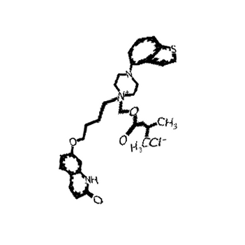 CC(C)C(=O)OC[N+]1(CCCCOc2ccc3ccc(=O)[nH]c3c2)CCN(c2cccc3sccc23)CC1.[Cl-]